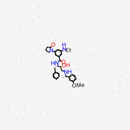 CCNc1cc(C(=O)N[C@@H](Cc2ccccc2)[C@H](O)CN[C@@H](C)c2cccc(OC)c2)cc(N2CCCC2=O)c1